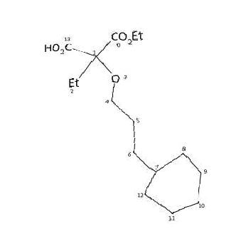 CCOC(=O)C(CC)(OCCCC1CCCCC1)C(=O)O